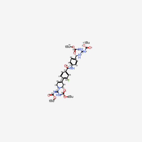 CC(C)(C)OC(=O)N=C(NCc1ccc(NC(=O)c2ccc(C3=CCN(C(=NC(=O)OC(C)(C)C)NC(=O)OC(C)(C)C)CC3)c(F)c2)cc1)NC(=O)OC(C)(C)C